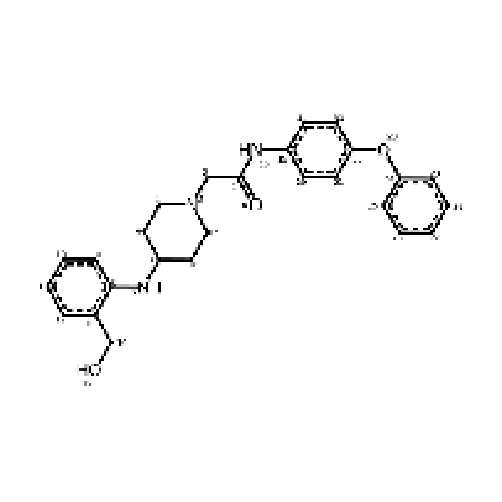 O=C(CN1CCC(Nc2ccccc2CO)CC1)Nc1ccc(Oc2ccccc2)cc1